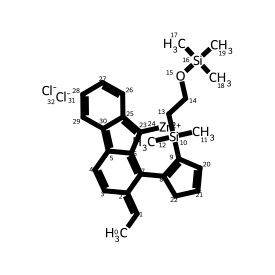 CC=c1ccc2c(c1C1=C([Si](C)(C)CCO[Si](C)(C)C)C=CC1)[C]([Zr+2])=c1ccccc1=2.[Cl-].[Cl-]